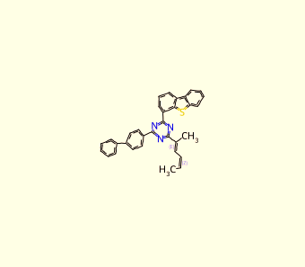 C/C=C\C=C(/C)c1nc(-c2ccc(-c3ccccc3)cc2)nc(-c2cccc3c2sc2ccccc23)n1